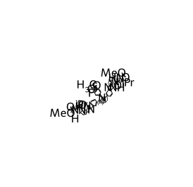 COC(=O)N[C@H](C(=O)N1CCC[C@H]1c1nc2cc([C@H]3CC[C@H](c4ccc5[nH]c([C@@H]6CCCN6C(=O)[C@@H](NC(=O)OC)C(C)C)nc5c4)N3c3ccc(S(C)(=O)=O)c(F)c3)ccc2[nH]1)C(C)C